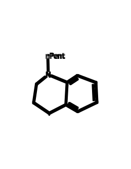 CCCCCN1CC[CH]c2ccccc21